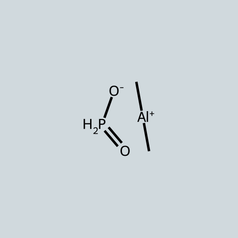 O=[PH2][O-].[CH3][Al+][CH3]